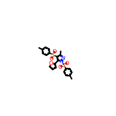 Cc1ccc(S(=O)(=O)c2c(C)nn(S(=O)(=O)c3ccc(C)cc3)c2-c2ccco2)cc1